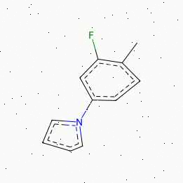 Cc1ccc(-n2cccc2)cc1F